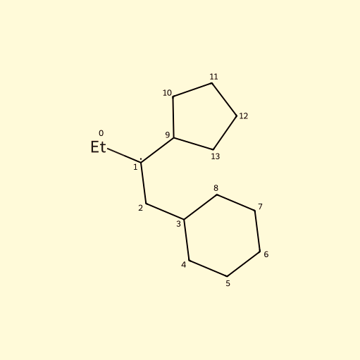 CC[C](CC1CCCCC1)C1CCCC1